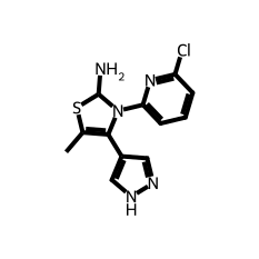 CC1=C(c2cn[nH]c2)N(c2cccc(Cl)n2)C(N)S1